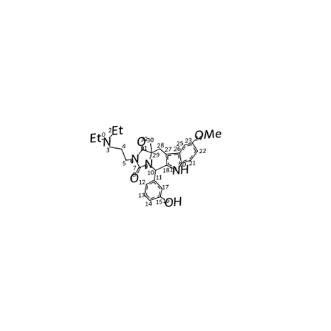 CCN(CC)CCCN1C(=O)N2C(c3cccc(O)c3)c3[nH]c4ccc(OC)cc4c3CC2(C)C1=O